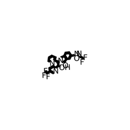 O=C1c2cc(-c3nnc(C(F)F)o3)ccc2CN1[C@H](c1ccccn1)[C@@H](O)c1ccc(C(F)(F)F)cn1